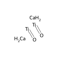 [CaH2].[CaH2].[O]=[Ti].[O]=[Ti]